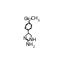 C[S+]([O-])c1ccc(C2CN=C(N)NC2)cc1